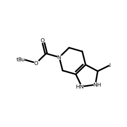 CC(C)(C)OC(=O)N1CCC2=C(C1)NNC2I